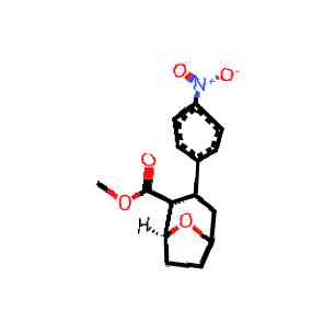 COC(=O)C1C(c2ccc([N+](=O)[O-])cc2)CC2CC[C@@H]1O2